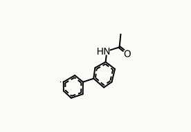 CC(=O)Nc1cccc(-c2c[c]ccc2)c1